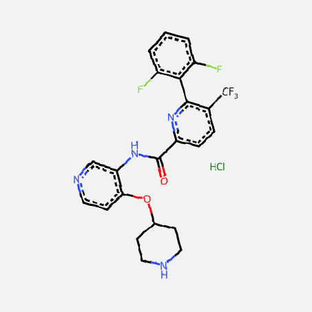 Cl.O=C(Nc1cnccc1OC1CCNCC1)c1ccc(C(F)(F)F)c(-c2c(F)cccc2F)n1